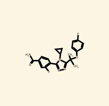 CC(C)(Oc1ccc(F)cc1)c1nnc(-c2ccc(C(N)=O)cc2F)n1C1CC1